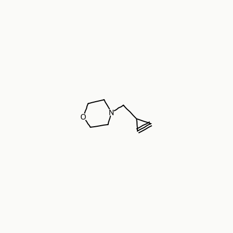 C1#CC1CN1CCOCC1